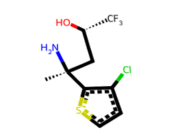 C[C@](N)(C[C@H](O)C(F)(F)F)c1sccc1Cl